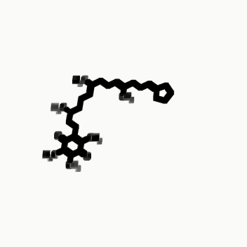 CC1=C(C)C(=O)C(CC[C@@H](C)CC/C=C(\C)CC/C=C(\C)CCC=C2CCCC2)=C(C)C1=O